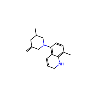 C=C1CC(C)CN(c2ccc(C)c3c2C=CCN3)C1